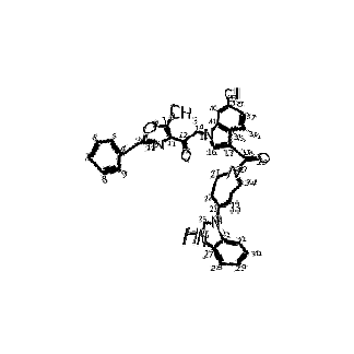 Cc1oc(-c2ccccc2)nc1C(=O)Cn1cc(C(=O)N2CCC(N3[CH]Nc4ccccc43)CC2)c2ccc(Cl)cc21